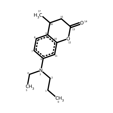 CCCN(CC)c1ccc2c(c1)OC(=O)CC2C